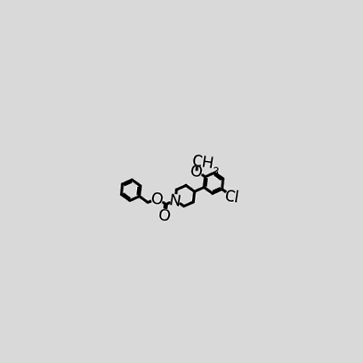 COc1ccc(Cl)cc1C1CCN(C(=O)OCc2ccccc2)CC1